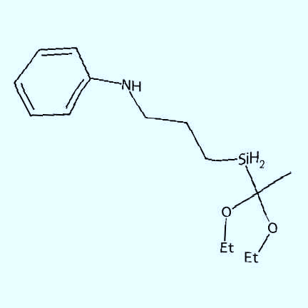 CCOC(C)(OCC)[SiH2]CCCNc1ccccc1